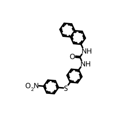 O=C(Nc1ccc(Sc2ccc([N+](=O)[O-])cc2)cc1)Nc1ccc2ccccc2c1